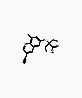 C#Cc1cnc2c(C)cc(OC(CC)(CC)C(N)=O)cc2c1